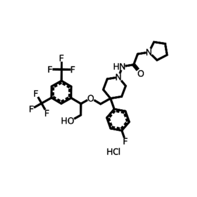 Cl.O=C(CN1CCCC1)NN1CCC(COC(CO)c2cc(C(F)(F)F)cc(C(F)(F)F)c2)(c2ccc(F)cc2)CC1